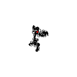 COc1cc(C(=O)N2CCC[C@H]2CO[Si](C)(C)C(C)(C)C)c(NC(=O)OC[C@@H](C)SSc2ncccc2[N+](=O)[O-])cc1OCCCOc1cc(NC(=O)OC(C)(C)C)c(C(=O)N2CCC[C@H]2CO[Si](C)(C)C(C)(C)C)cc1OC